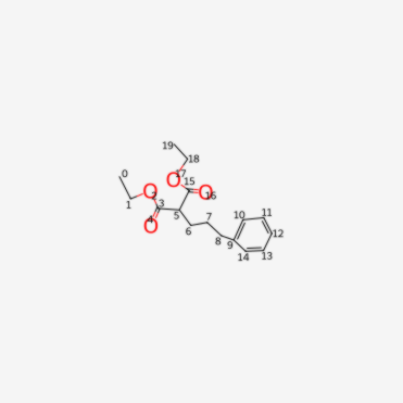 CCOC(=O)C(CCCc1ccccc1)C(=O)OCC